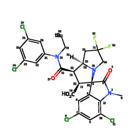 CN1C(=O)[C@]2(c3cc(Cl)cc(Cl)c31)[C@@H](C(=O)O)[C@@H](C(=O)N(CC(C)(C)C)c1cc(Cl)cc(Cl)c1)[C@H]1CC(F)(F)CN12